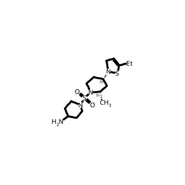 CCC1=CCN([C@H]2CCN(S(=O)(=O)N3CCC(N)CC3)[C@@H](C)C2)S1